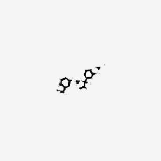 CC1=CN=C(Nc2ccc3onc(C)c3c2)NC1(N)c1ccc2oc(=O)[nH]c2c1